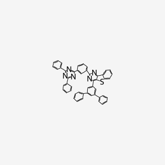 c1ccc(-c2cc(-c3ccccc3)cc(-c3nc(-c4cccc(-c5nc(-c6ccccc6)nc(-c6ccccc6)n5)c4)nc4c3sc3ccccc34)c2)cc1